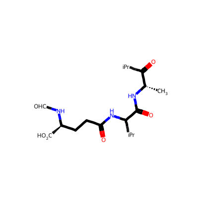 CC(C)C(=O)[C@H](C)NC(=O)C(NC(=O)CC[C@H](NC=O)C(=O)O)C(C)C